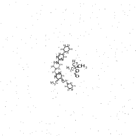 CC(C)(C)OC=O.Cc1nc(CC2CCN(c3ncc(-c4ccccc4)cn3)CC2)ncc1OCc1ccccc1